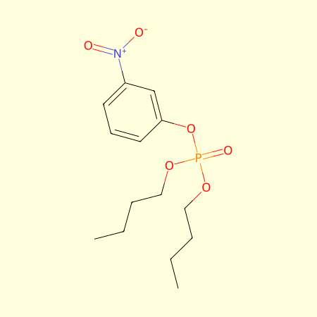 CCCCOP(=O)(OCCCC)Oc1cccc([N+](=O)[O-])c1